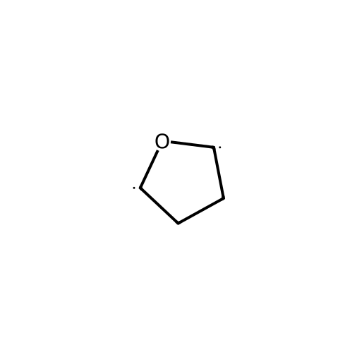 [CH]1CC[CH]O1